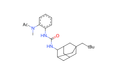 CC(=O)N(C)c1ccccc1NC(=O)NC1C2CC3CC1CC(CC(C)(C)C)(C3)C2